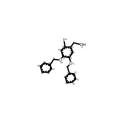 OCc1cc(OCc2ccccc2)c(OCc2ccccc2)cc1I